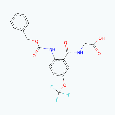 O=C(O)CNC(=O)c1cc(OC(F)(F)F)ccc1NC(=O)OCc1ccccc1